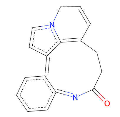 O=C1CCC2=c3/c(ccn3CC=C2)=c2/cccc/c2=N/1